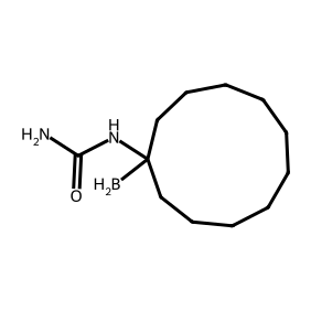 BC1(NC(N)=O)CCCCCCCCCC1